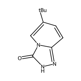 CC(C)(C)c1ccc2n[nH]c(=O)n2c1